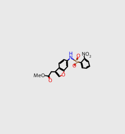 COC(=O)Cc1coc2cc(NS(=O)(=O)c3ccccc3[N+](=O)[O-])ccc12